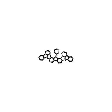 C1=CCCC(n2c3c4c(ccc3c3ccc5c(c6cccc7c8ccccc8n5c76)c32)-n2c3c(c5ccccc52)C=CCC43)=C1